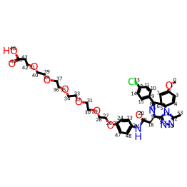 COc1ccc2c(c1)C(c1ccc(Cl)cc1)=N[C@H](CC(=O)Nc1ccc(OCCOCCOCCOCCOCCOCCC(=O)O)cc1)c1nnc(C)n1-2